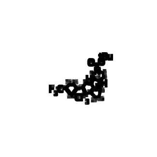 CC(C)(C)OC(=O)N1CC[C@H]2[C@@H](C1)c1cc(-c3ccc(C(F)(F)F)cc3C(F)(F)F)cc3c1N2CCC3